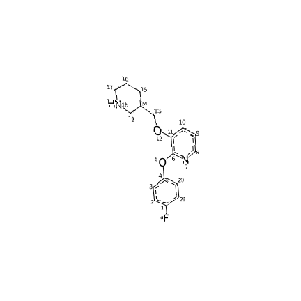 Fc1ccc(Oc2ncccc2OCC2CCCNC2)cc1